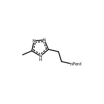 CCCCCCCc1nnc(C)[nH]1